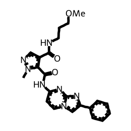 COCCCNC(=O)c1cnn(C)c1C(=O)Nc1ccn2cc(-c3ccccc3)nc2n1